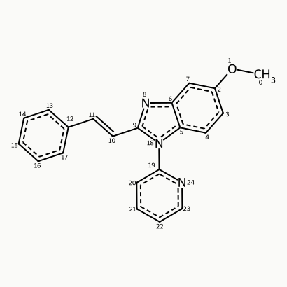 COc1ccc2c(c1)nc(C=Cc1ccccc1)n2-c1ccccn1